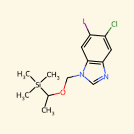 CC(OCn1cnc2cc(Cl)c(I)cc21)[Si](C)(C)C